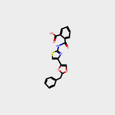 O=C(O)c1ccccc1C(=O)Nc1nc(C2=COC(Cc3ccccc3)O2)cs1